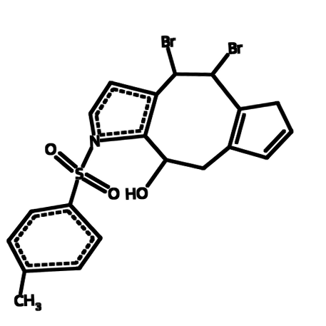 Cc1ccc(S(=O)(=O)n2ccc3c2C(O)CC2=C(CC=C2)C(Br)C3Br)cc1